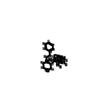 CN.CN.CN.c1ccc(CCN2CCOCC2)cc1